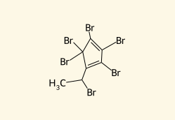 CC(Br)C1=C(Br)C(Br)=C(Br)C1(Br)Br